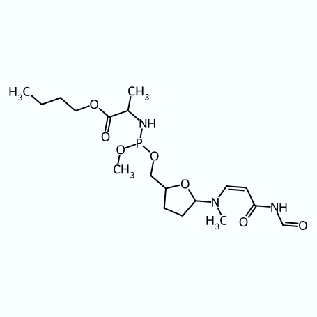 CCCCOC(=O)C(C)NP(OC)OCC1CCC(N(C)/C=C\C(=O)NC=O)O1